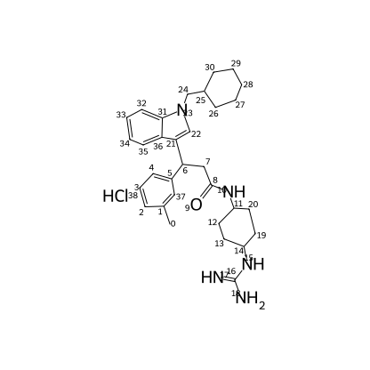 Cc1cccc(C(CC(=O)NC2CCC(NC(=N)N)CC2)c2cn(CC3CCCCC3)c3ccccc23)c1.Cl